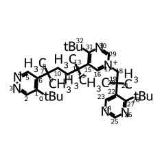 CC(C)(C)c1cnncc1C(C)(C)CCC(C)(C)c1c[n+](CC(C)(C)c2cncnc2C(C)(C)C)cnc1C(C)(C)C